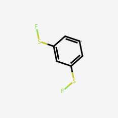 FSc1c[c]cc(SF)c1